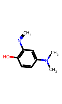 C=Nc1cc(N(C)C)ccc1O